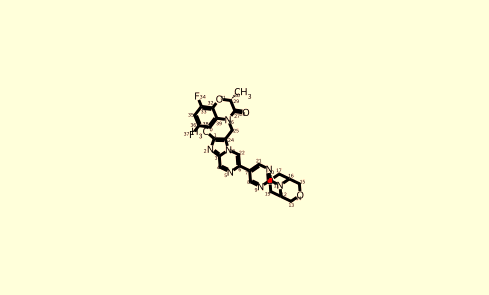 Cc1nc2cnc(-c3cnc(N4C5COCC4COC5)nc3)cn2c1CN1C(=O)[C@@H](C)Oc2c(F)cc(F)cc21